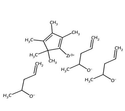 C=CCC(C)[O-].C=CCC(C)[O-].C=CCC(C)[O-].CC1=C(C)C(C)(C)[C]([Zr+3])=C1C